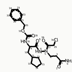 NC(=O)CCN(NC(=O)C(CC1CCCC1)NC(=O)OCc1ccccc1)C(=O)CCl